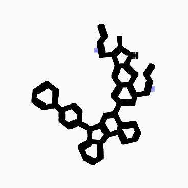 C=C/C=C\c1cc(-c2cc3c(c4ccccc24)c2ccccc2n3-c2ccc(-c3ccccc3)cc2)cc2cc3c(/C=C\C=C)c(C)[nH]c3cc12